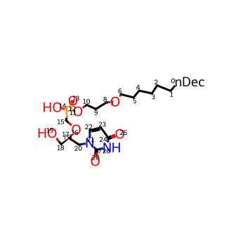 CCCCCCCCCCCCCCCCOCCCOP(=O)(O)CO[C@H](CO)Cn1ccc(=O)[nH]c1=O